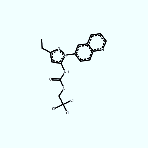 CCc1cc(NC(=O)OCC(Cl)(Cl)Cl)n(-c2ccc3ncccc3c2)n1